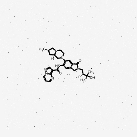 C[C@@H]1C[C@@H]2CN(c3cc4c(cc3NC(=O)c3cnn5cccnc35)CN(C[C@@H](F)C(C)(C)O)C4=O)CCN2C1